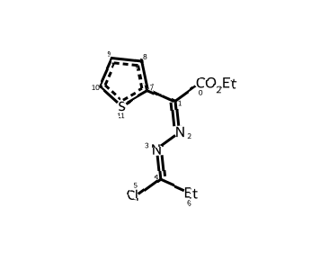 CCOC(=O)/C(=N/N=C(/Cl)CC)c1cccs1